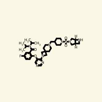 CC(C)N(C(=O)c1cc(F)ccc1Oc1cncnc1N1CC2(CCN(CC3CCN(S(=O)(=O)N4C[C@H]5CN[C@H]5C4)CC3)CC2)C1)C(C)C